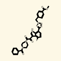 COC(=O)c1ccc(Cn2nnc(-c3ccc(F)c4c(C(=O)C(=O)N5CCN(C(=O)c6ccccc6)CC5)c[nH]c34)n2)cc1